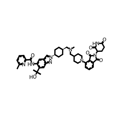 Cc1cccc(C(=O)Nc2cc3cn([C@H]4CC[C@H](CN(C)CC5CCN(c6cccc7c6C(=O)N(C6CCC(=O)NC6=O)C7=O)CC5)CC4)nc3cc2C(C)(C)O)n1